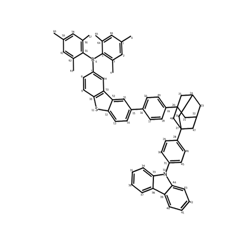 Cc1cc(C)c(B(c2ccc3sc4ccc(-c5ccc(C67CC8CC(C6)CC(c6ccc(-n9c%10ccccc%10c%10ccccc%109)cc6)(C8)C7)cc5)cc4c3c2)c2c(C)cc(C)cc2C)c(C)c1